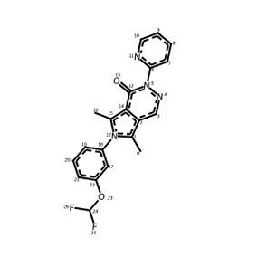 Cc1c2cnn(-c3ccccn3)c(=O)c2c(C)n1-c1cccc(OC(F)F)c1